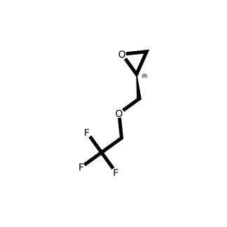 FC(F)(F)COC[C@@H]1CO1